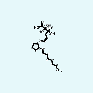 [2H]C(O)(C/C=C\C[C@H]1CCC[C@@H]1/C=C/CCCCCC)C(O)(O)C(=O)O